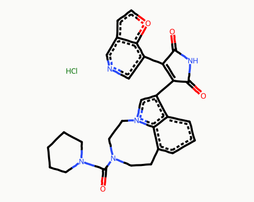 Cl.O=C1NC(=O)C(c2cncc3ccoc23)=C1c1cn2c3c(cccc13)CCN(C(=O)N1CCCCC1)CC2